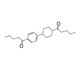 CCCCC(=O)c1ccc(C2CCC(C(=O)CCCC)CC2)cc1